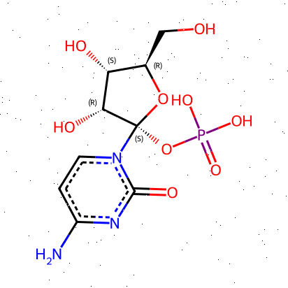 Nc1ccn([C@]2(OP(=O)(O)O)O[C@H](CO)[C@@H](O)[C@H]2O)c(=O)n1